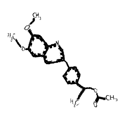 COc1cc2cc(-c3ccc(C(C)OC(C)=O)cc3)cnc2cc1OC